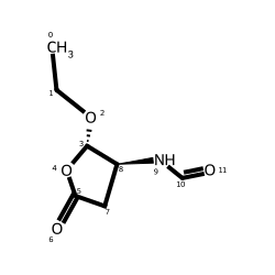 CCO[C@H]1OC(=O)C[C@@H]1NC=O